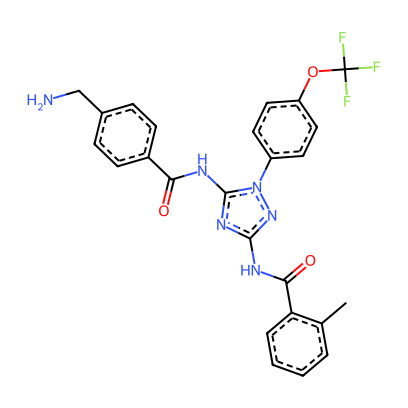 Cc1ccccc1C(=O)Nc1nc(NC(=O)c2ccc(CN)cc2)n(-c2ccc(OC(F)(F)F)cc2)n1